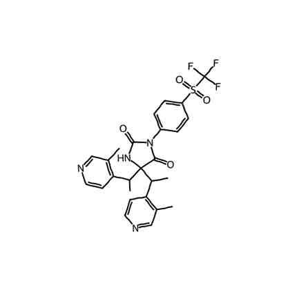 Cc1cnccc1C(C)C1(C(C)c2ccncc2C)NC(=O)N(c2ccc(S(=O)(=O)C(F)(F)F)cc2)C1=O